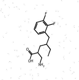 CCC(Cc1cccc(F)c1F)CC(CN)C(=O)O